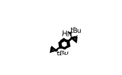 CC(C)(C)NC1(c2ccc(C3(C(C)(C)C)CC3)cc2)CC1